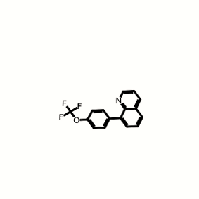 FC(F)(F)Oc1ccc(-c2cccc3cccnc23)cc1